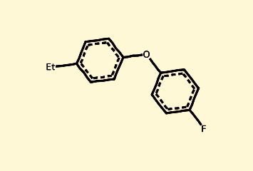 CCc1ccc(Oc2ccc(F)cc2)cc1